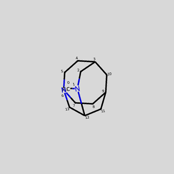 CC(=O)N1CC2CCN3CCC(C2)CC1C3